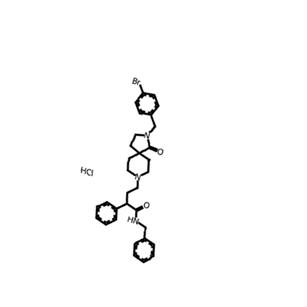 Cl.O=C(NCc1ccccc1)C(CCN1CCC2(CC1)CCN(Cc1ccc(Br)cc1)C2=O)c1ccccc1